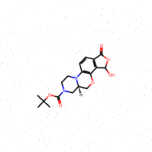 CC(C)(C)OC(=O)N1CCN2c3ccc4c(c3OC[C@@H]2C1)C(O)OC4=O